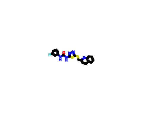 O=C(Nc1cccc(F)c1)Nc1nnc(SCc2ccc3ccccc3n2)s1